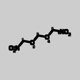 O=[N+]([O-])COCOC[N+](=O)[O-]